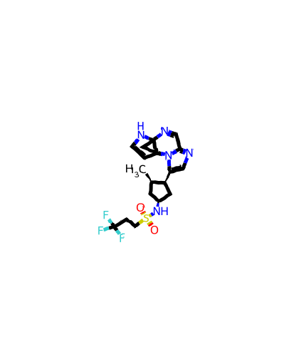 C[C@@H]1C[C@H](NS(=O)(=O)CCC(F)(F)F)C[C@@H]1c1cnc2n1C13C=CNC1(C3)N=C2